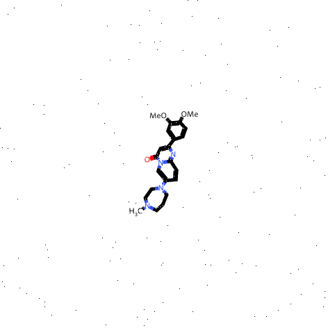 COc1ccc(-c2cc(=O)n3cc(N4CCCN(C)CC4)ccc3n2)cc1OC